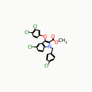 COC(=O)c1c(Oc2ccc(Cl)c(Cl)c2)c2cc(Cl)ccc2n1Cc1ccc(Cl)cc1